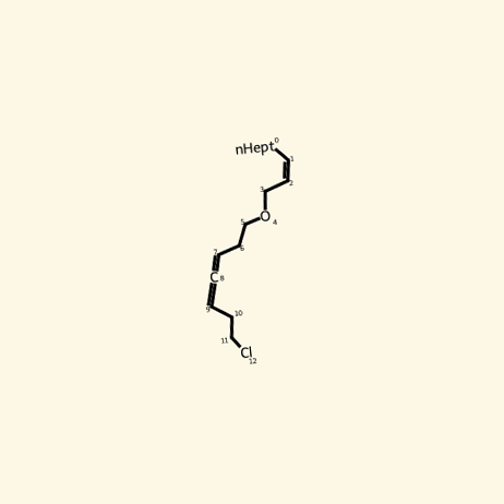 CCCCCCC/C=C\COCCC=C=CCCCl